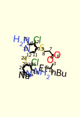 CCCCC(CC)COC(=O)CCSc1ccnc(N)c1Cl.Nc1nccc([S-])c1Cl.[Na+]